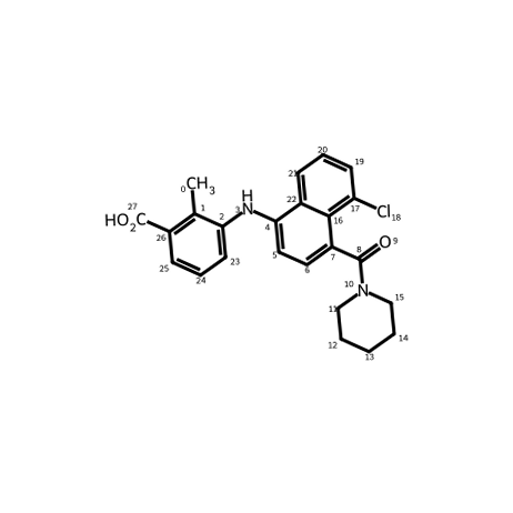 Cc1c(Nc2ccc(C(=O)N3CCCCC3)c3c(Cl)cccc23)cccc1C(=O)O